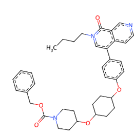 CCCCn1cc(-c2ccc(OC3CCC(OC4CCN(C(=O)OCc5ccccc5)CC4)CC3)cc2)c2ccncc2c1=O